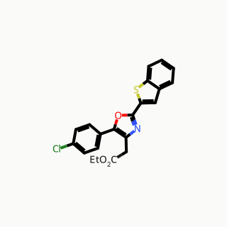 CCOC(=O)Cc1nc(-c2cc3ccccc3s2)oc1-c1ccc(Cl)cc1